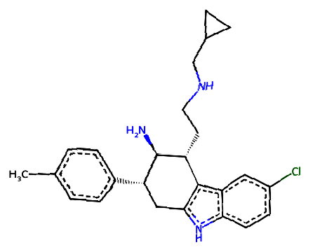 Cc1ccc([C@H]2Cc3[nH]c4ccc(Cl)cc4c3[C@@H](CCNCC3CC3)[C@@H]2N)cc1